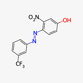 O=[N+]([O-])c1cc(O)ccc1N=Nc1cccc(C(F)(F)F)c1